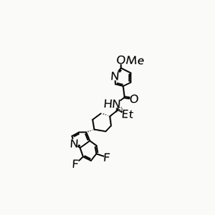 CC[C@H](NC(=O)c1ccc(OC)nc1)[C@H]1CC[C@@H](c2ccnc3c(F)cc(F)cc32)CC1